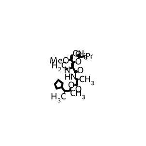 C=N/C(C(=O)N[C@@H](C)C(=O)O[C@H](C)[C@H](C)C1CCCC1)=C(OC(=O)C(C)C)\C(=C/C)OC